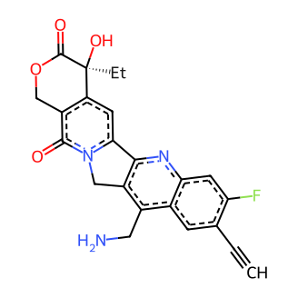 C#Cc1cc2c(CN)c3c(nc2cc1F)-c1cc2c(c(=O)n1C3)COC(=O)[C@]2(O)CC